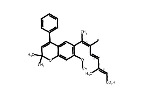 CCCOc1cc2c(cc1\C(C)=C(F)/C=C/C(C)=C/C(=O)O)C(c1ccccc1)=CC(C)(C)O2